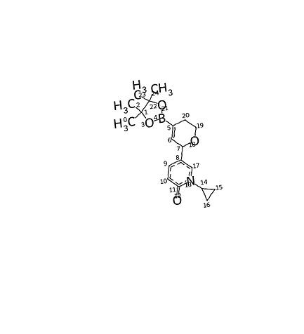 CC1(C)OB(C2=CC(c3ccc(=O)n(C4CC4)c3)OCC2)OC1(C)C